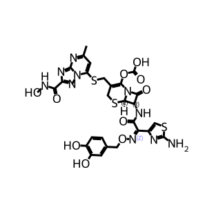 Cc1cc(SCC2=C(OC(=O)O)N3C(=O)[C@@H](NC(=O)/C(=N\OCc4ccc(O)c(O)c4)c4csc(N)n4)[C@H]3SC2)n2nc(C(=O)NO)nc2n1